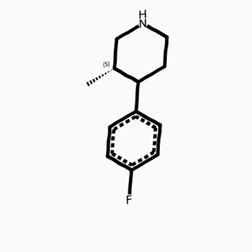 C[C@@H]1CNCCC1c1ccc(F)cc1